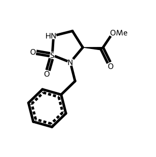 COC(=O)[C@@H]1CNS(=O)(=O)N1Cc1ccccc1